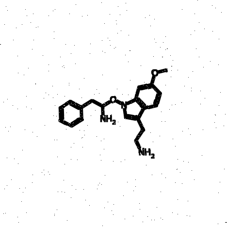 COc1ccc2c(CCN)cn(OC(N)Cc3ccccc3)c2c1